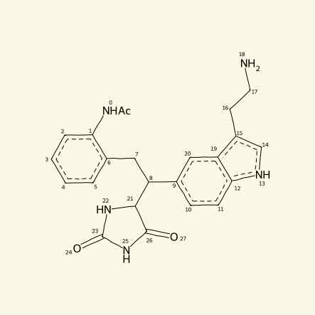 CC(=O)Nc1ccccc1CC(c1ccc2[nH]cc(CCN)c2c1)C1NC(=O)NC1=O